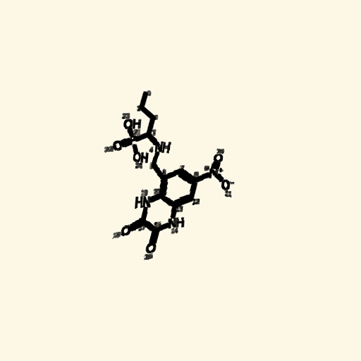 CCCC(NCc1cc([N+](=O)[O-])cc2[nH]c(=O)c(=O)[nH]c12)P(=O)(O)O